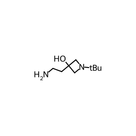 CC(C)(C)N1CC(O)(CCN)C1